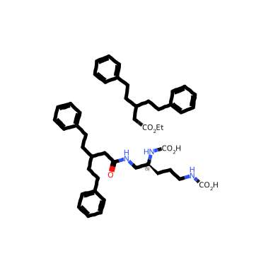 CCOC(=O)CC(CCc1ccccc1)CCc1ccccc1.O=C(O)NCCC[C@@H](CNC(=O)CC(CCc1ccccc1)CCc1ccccc1)NC(=O)O